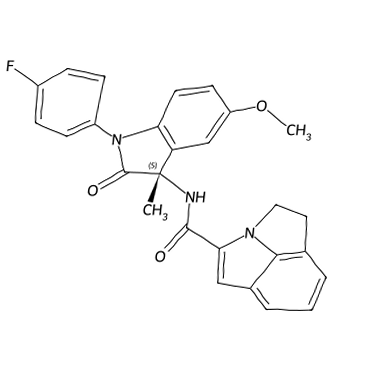 COc1ccc2c(c1)[C@](C)(NC(=O)c1cc3cccc4c3n1CC4)C(=O)N2c1ccc(F)cc1